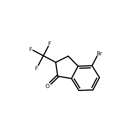 O=C1c2cccc(Br)c2CC1C(F)(F)F